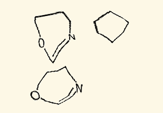 C1=NCCO1.C1=NCCO1.C1CCC1